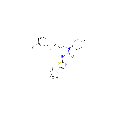 CC1CCC(N(CCCSc2cccc(C(F)(F)F)c2)C(=O)Nc2ncc(SC(C)(C)C(=O)O)s2)CC1